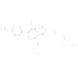 CS(=O)(=O)N1CCN(Cc2cc3c(N4CCOCC4)nc(-c4cnc(N)nc4)c(Cl)n3n2)CC1